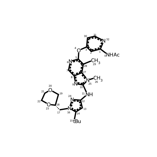 CC(=O)Nc1cc(Oc2ncc3nc(Nc4cc(C(C)(C)C)n(C[C@H]5COCCO5)n4)n(C)c3c2C)ccn1